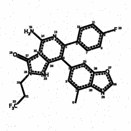 Cc1cc(-c2c(-c3ccc(F)cc3)nc(N)[n+]3c(=O)n(CCC(F)(F)F)[nH]c23)cc2ocnc12